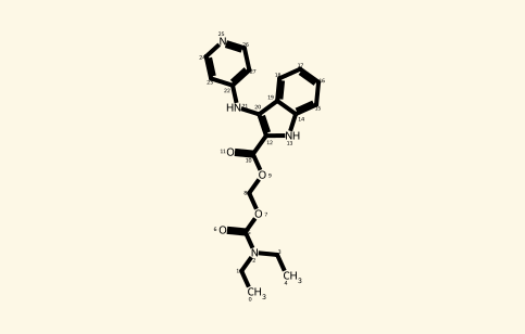 CCN(CC)C(=O)OCOC(=O)c1[nH]c2ccccc2c1Nc1ccncc1